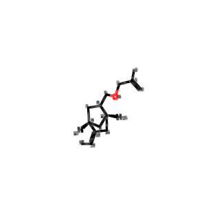 C=C(C)COCC1C[C@@H]2C[C@H]1C/C2=C/C